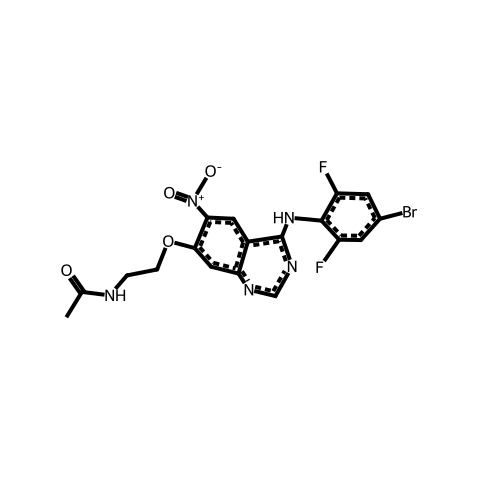 CC(=O)NCCOc1cc2ncnc(Nc3c(F)cc(Br)cc3F)c2cc1[N+](=O)[O-]